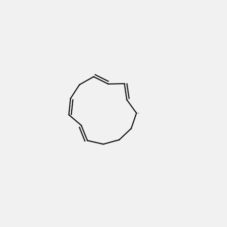 [CH]1/C=C/C=C/C/C=C\C=C\CCC1